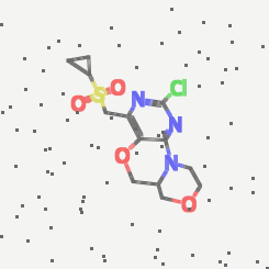 O=S(=O)(Cc1nc(Cl)nc2c1OCC1COCCN21)C1CC1